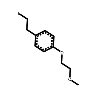 COCCOc1ccc(CCI)cc1